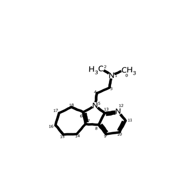 CN(C)CCn1c2c(c3cccnc31)CCCCC2